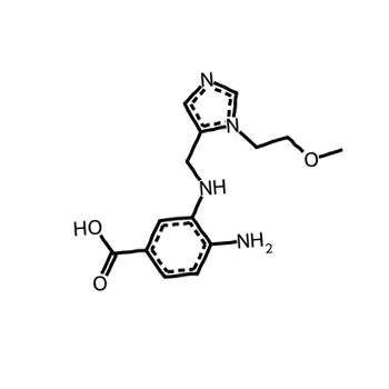 COCCn1cncc1CNc1cc(C(=O)O)ccc1N